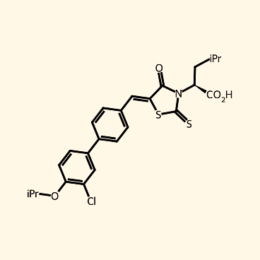 CC(C)C[C@@H](C(=O)O)N1C(=O)C(=Cc2ccc(-c3ccc(OC(C)C)c(Cl)c3)cc2)SC1=S